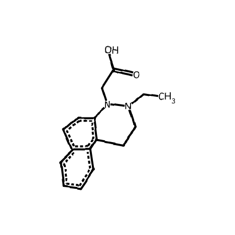 CCN1CCc2c(ccc3ccccc23)N1CC(=O)O